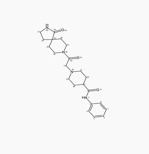 O=C(Nc1ccccc1)C1CCN(CC(=O)N2CCC3(CCNC3=O)CC2)CC1